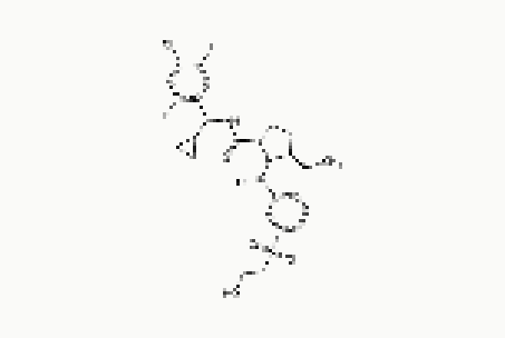 CC[C@@H]1CC[C@H](C(=O)NC(c2cc(F)c(Cl)cc2F)C2CC2)N1C(=O)c1cccc(S(=O)(=O)CCO)c1